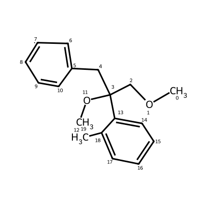 COCC(Cc1c[c]ccc1)(OC)c1ccccc1C